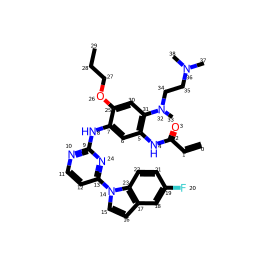 C=CC(=O)Nc1cc(Nc2nccc(-n3ccc4cc(F)ccc43)n2)c(OCCC)cc1N(C)CCN(C)C